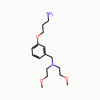 COCCN(CCOC)Cc1cccc(OCCCN)c1